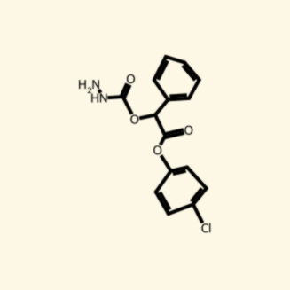 NNC(=O)OC(C(=O)Oc1ccc(Cl)cc1)c1ccccc1